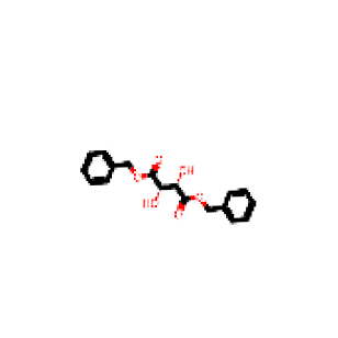 O=C(OCc1ccccc1)[C@@H](O)[C@H](O)C(=O)OCc1ccccc1